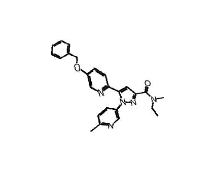 CCN(C)C(=O)c1cc(-c2ccc(OCc3ccccc3)cn2)n(-c2ccc(C)nc2)n1